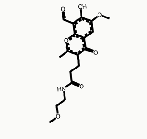 COCCNC(=O)CCc1c(C)oc2c(C=O)c(O)c(OC)cc2c1=O